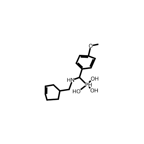 COc1ccc(C(NCC2CC=CCC2)[PH](O)(O)O)cc1